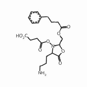 NCCCC1C(=O)OC(COC(=O)CCCc2ccccc2)N1OC(=O)CCC(=O)O